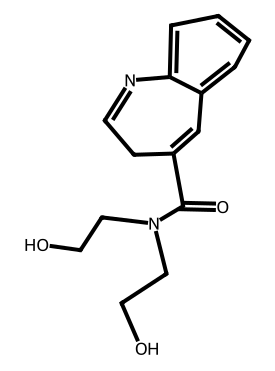 O=C(C1=Cc2ccccc2N=CC1)N(CCO)CCO